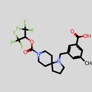 Cc1cc(CN2CCCC23CCN(C(=O)OC(C(F)(F)F)C(F)(F)F)CC3)cc(C(=O)O)c1